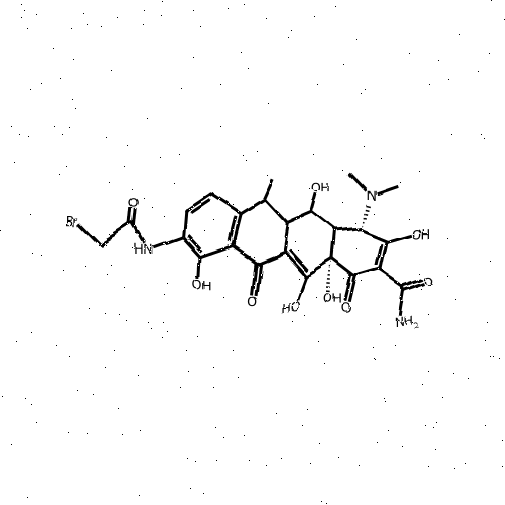 CC1c2ccc(NC(=O)CBr)c(O)c2C(=O)C2=C(O)[C@]3(O)C(=O)C(C(N)=O)=C(O)[C@@H](N(C)C)C3C(O)C21